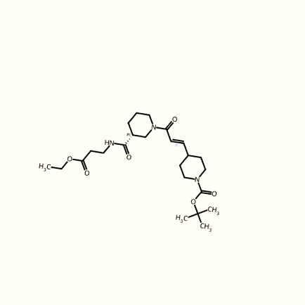 CCOC(=O)CCNC(=O)[C@@H]1CCCN(C(=O)/C=C/C2CCN(C(=O)OC(C)(C)C)CC2)C1